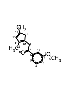 COc1cccc(C(=O)CC2=C(C)C=C(C)C2)c1